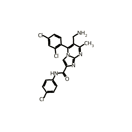 Cc1nc2nc(C(=O)Nc3ccc(Cl)cc3)cn2c(-c2ccc(Cl)cc2Cl)c1CN